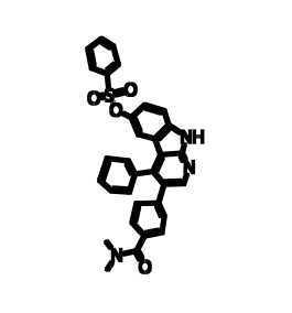 CN(C)C(=O)c1ccc(-c2cnc3[nH]c4ccc(OS(=O)(=O)c5ccccc5)cc4c3c2-c2ccccc2)cc1